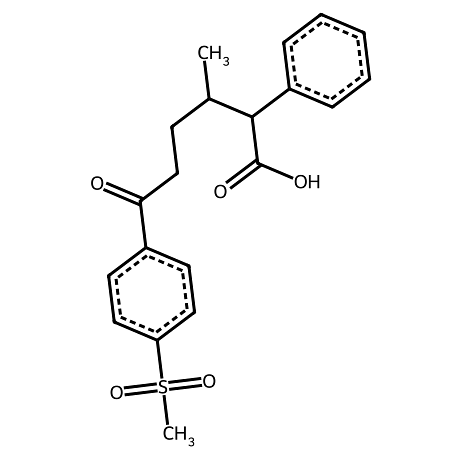 CC(CCC(=O)c1ccc(S(C)(=O)=O)cc1)C(C(=O)O)c1ccccc1